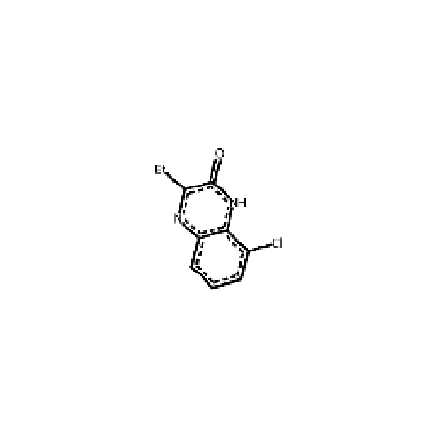 CCc1nc2cccc(Cl)c2[nH]c1=O